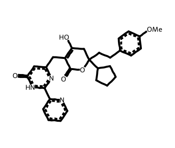 COc1ccc(CCC2(C3CCCC3)CC(O)=C(Cc3cc(=O)[nH]c(-c4ccccn4)n3)C(=O)O2)cc1